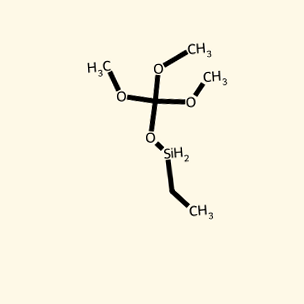 CC[SiH2]OC(OC)(OC)OC